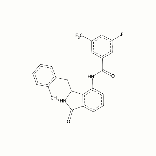 Cc1ccccc1CC1NC(=O)c2cccc(NC(=O)c3cc(F)cc(C(F)(F)F)c3)c21